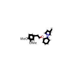 COc1ccc(CCO[C@H]2CCCCC2N2CCC(C)C2)cc1OC